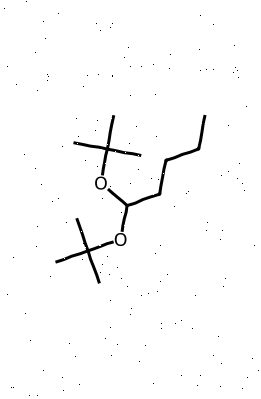 CCCCC(OC(C)(C)C)OC(C)(C)C